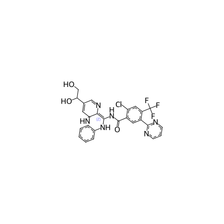 N=C1C=C(C(O)CO)C=N/C1=C(\NC(=O)c1cc(-c2ncccn2)c(C(F)(F)F)cc1Cl)Nc1ccccc1